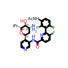 CC(=O)Nc1ccc(F)c(-c2nc(C(=O)Nc3cnccc3[C@@H]3C[C@@H](N)[C@H](O)[C@@H](C(C)C)O3)ccc2F)c1F